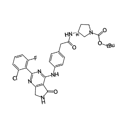 CC(C)(C)OC(=O)N1CC[C@@H](NC(=O)Cc2ccc(Nc3nc(-c4c(F)cccc4Cl)nc4c3C(=O)NC4)cc2)C1